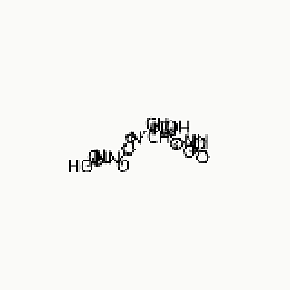 CC(C)(CCn1ccc2cc(C(=O)NCc3cc(O)on3)ccc21)NC[C@H](O)c1cccc(NS(=O)(=O)c2ccccc2)c1